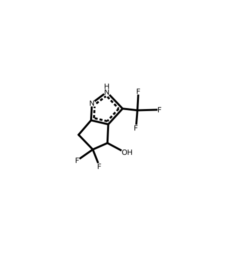 OC1c2c(n[nH]c2C(F)(F)F)CC1(F)F